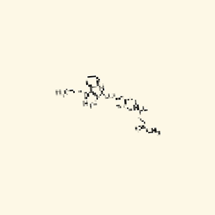 CCCCOc1c(C)c(COc2ccc3c(c2)CCN(C(=O)CCC(C)=O)C3)nc2ccccc12